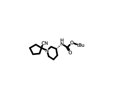 CC(C)(C)OC(=O)N[C@@H]1CCCN(C2(C#N)CCCC2)C1